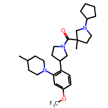 CC1CCN(c2cc(OC(F)(F)F)ccc2C2CCN(C(=O)C3(C)CCN(C4CCCC4)C3)C2)CC1